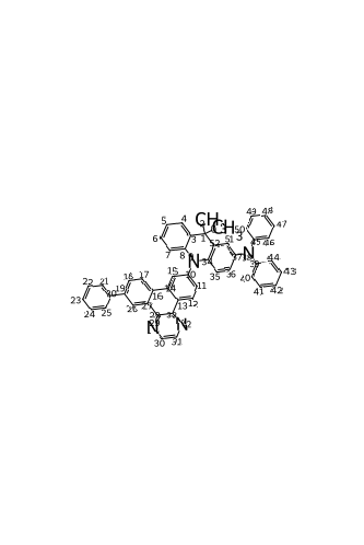 CC1(C)c2ccccc2N(c2ccc3c(c2)c2ccc(-c4ccccc4)cc2c2nccnc32)c2ccc(N(c3ccccc3)c3ccccc3)cc21